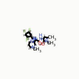 CC1C[C@H](NC(=O)c2nc(-c3cc(F)c(F)cc3F)n3c2CN(C)CCC3)C(=O)N1C